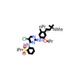 CCC/C(=C\C(C)(C)NC)c1cc(OC(C)C)c(Nc2ncc(Cl)c(Nc3ccccc3S(=O)(=O)C(C)C)n2)cc1C